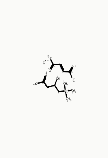 C[N+](C)(C)CC(O)CC(=O)[O-].O=C([O-])/C=C/C(=O)[O-].[Zn+2]